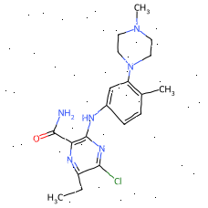 CCc1nc(C(N)=O)c(Nc2ccc(C)c(N3CCN(C)CC3)c2)nc1Cl